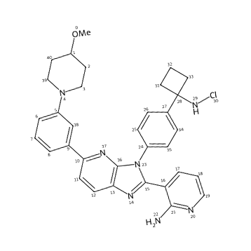 COC1CCN(c2cccc(-c3ccc4nc(-c5cccnc5N)n(-c5ccc(C6(NCl)CCC6)cc5)c4n3)c2)CC1